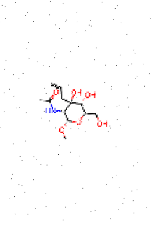 C=CC[C@]1(O)[C@H](O)[C@@H](CO)O[C@H](OC)[C@H]1NC(C)=O